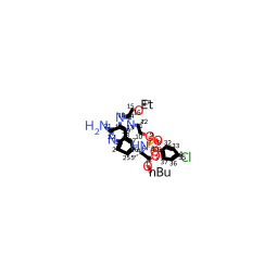 CCCCOC(=O)[C@H](C)NP(=O)(OC[C@@H](C)n1c(COCC)nc2c(N)nc3ccccc3c21)Oc1ccc(Cl)cc1